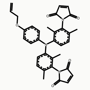 C=CCOc1ccc(N(c2ccc(C)c(N3C(=O)C=CC3=O)c2C)c2ccc(C)c(N3C(=O)C=CC3=O)c2C)cc1